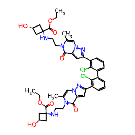 CCOC(=O)[C@]1(NCCn2c(C)cn3nc(-c4cccc(-c5cccc(-c6cc7c(=O)n(CCN[C@]8(C(=O)OCC)C[C@H](O)C8)c(C)cn7n6)c5Cl)c4Cl)cc3c2=O)C[C@@H](O)C1